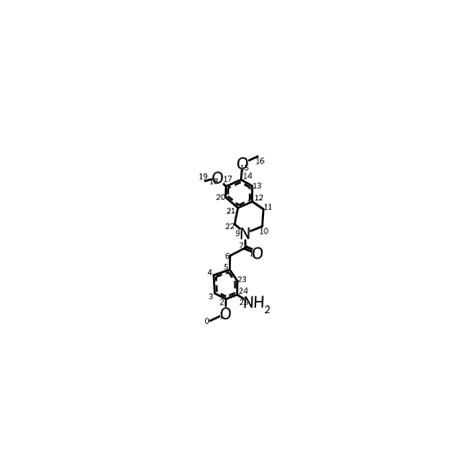 COc1ccc(CC(=O)N2CCc3cc(OC)c(OC)cc3C2)cc1N